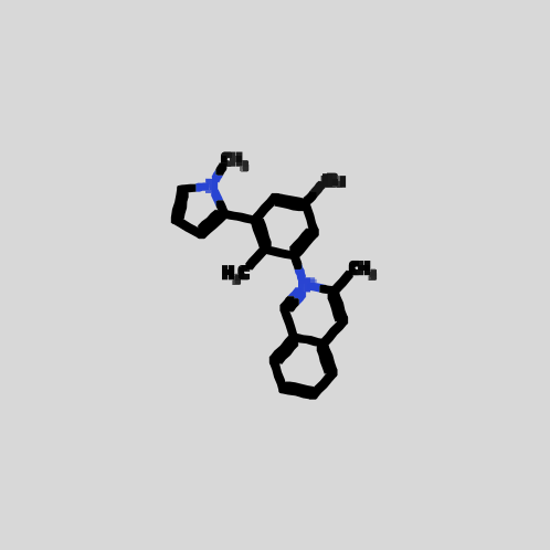 Cc1c(-c2cccn2C)cc(C(C)(C)C)cc1-[n+]1cc2ccccc2cc1C